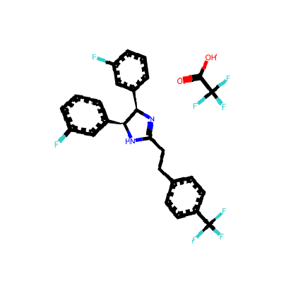 Fc1cccc([C@H]2N=C(CCc3ccc(C(F)(F)F)cc3)N[C@H]2c2cccc(F)c2)c1.O=C(O)C(F)(F)F